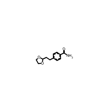 NC(=O)c1ccc(CCC2OCCO2)cc1